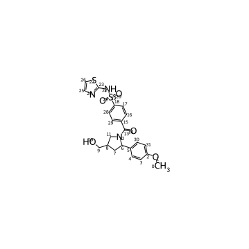 COc1ccc(C2CC(CO)CN2C(=O)c2ccc(S(=O)(=O)Nc3nccs3)cc2)cc1